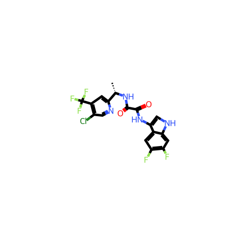 C[C@H](NC(=O)C(=O)Nc1c[nH]c2cc(F)c(F)cc12)c1cc(C(F)(F)F)c(Cl)cn1